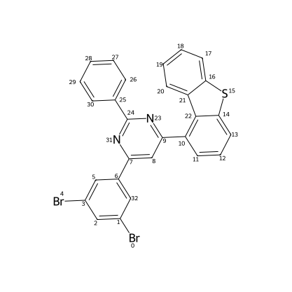 Brc1cc(Br)cc(-c2cc(-c3cccc4sc5ccccc5c34)nc(-c3ccccc3)n2)c1